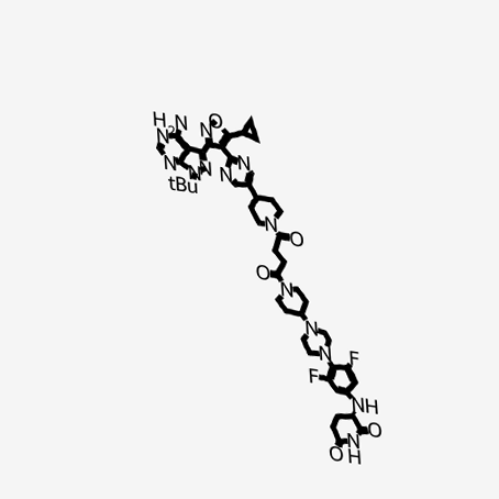 CC(C)(C)n1nc(-c2noc(C3CC3)c2-c2ncc(C3CCN(C(=O)CCC(=O)N4CCC(N5CCN(c6c(F)cc(N[C@@H]7CCC(=O)NC7=O)cc6F)CC5)CC4)CC3)cn2)c2c(N)ncnc21